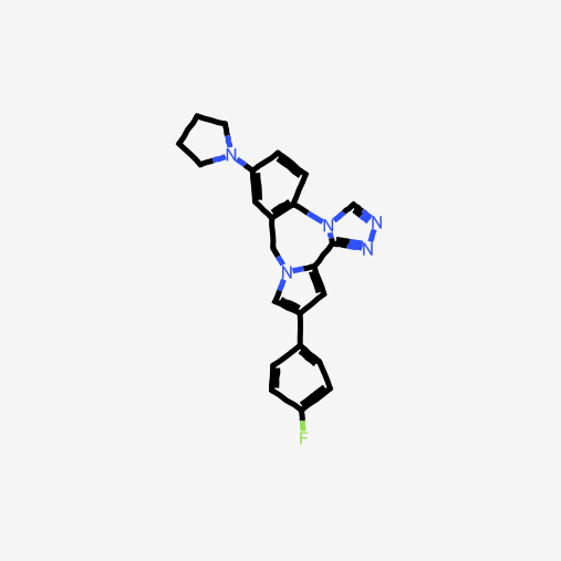 Fc1ccc(-c2cc3n(c2)Cc2cc(N4CCCC4)ccc2-n2cnnc2-3)cc1